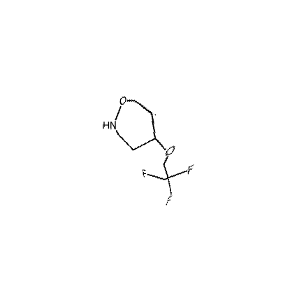 FC(F)(F)OC1[CH]ONC1